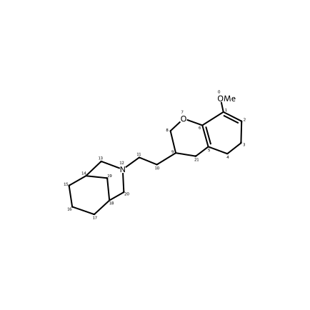 COC1=CCCC2=C1OCC(CCN1CC3CCCC(C3)C1)C2